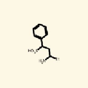 CCC(N)CC(c1ccccc1)S(=O)(=O)O